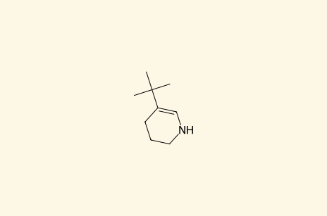 CC(C)(C)C1=CNCCC1